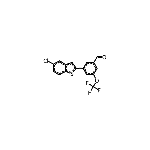 O=Cc1cc(OC(F)(F)F)cc(-c2cc3cc(Cl)ccc3s2)c1